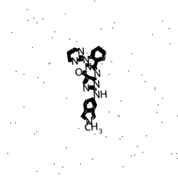 CN1Cc2ccc(Nc3ncc4c(=O)n5c(nc4n3)c3ccccc3n5-c3ncccn3)cc2C1